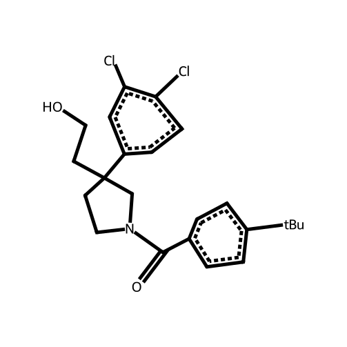 CC(C)(C)c1ccc(C(=O)N2CCC(CCO)(c3ccc(Cl)c(Cl)c3)C2)cc1